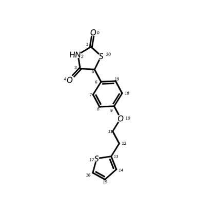 O=C1NC(=O)C(c2ccc(OCCc3cccs3)cc2)S1